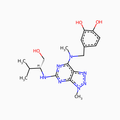 CC(C)[C@H](CO)Nc1nc(N(C)Cc2ccc(O)c(O)c2)c2nnn(C)c2n1